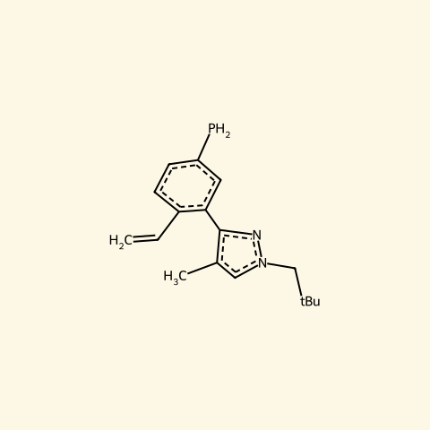 C=Cc1ccc(P)cc1-c1nn(CC(C)(C)C)cc1C